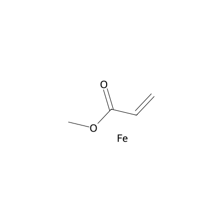 C=CC(=O)OC.[Fe]